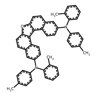 Cc1ccc(N(c2ccc3c(ccc4oc5ccc6cc(N(c7ccc(C)cc7)c7ccccc7C)ccc6c5c43)c2)c2ccccc2C)cc1